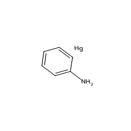 Nc1ccccc1.[Hg]